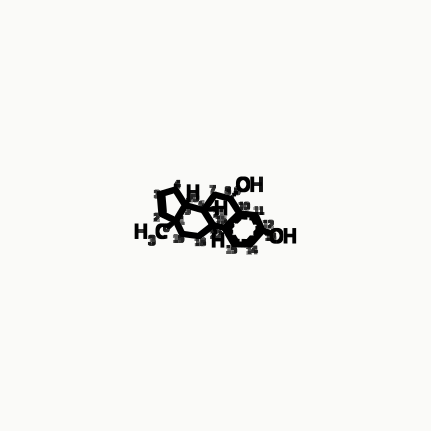 C[C@@]12C=CC[C@H]1[C@@H]1C[C@H](O)c3cc(O)ccc3[C@H]1CC2